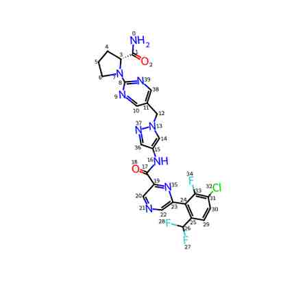 NC(=O)[C@H]1CCCN1c1ncc(Cn2cc(NC(=O)c3cncc(-c4c(C(F)F)ccc(Cl)c4F)n3)cn2)cn1